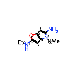 CCNc1cc2c(cc(N)n2NC)o1